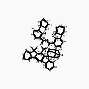 CC1(C)c2ccccc2-c2cc3c(c(-c4nc(-c5cccc6c5sc5ccccc56)nc(-c5cccc6c5sc5ccccc56)n4)c21)C1(c2ccccc2-3)C2CC3CC(C2)CC1C3